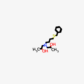 CC(O)CN(CCCCSCc1ccccc1)CC(C)O